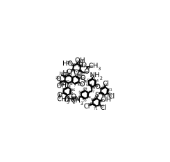 COc1cc([C@@H]2c3cc4c(cc3[C@@H](O[C@@H]3O[C@@H]5CO[C@@H](C)O[C@H]5[C@H](O)[C@H]3O)[C@H]3COC(=O)[C@H]23)OCO4)cc(OC)c1O.Nc1ccc(Cc2ccc(N)cc2)cc1.Oc1c(Cl)cc(Cl)cc1Sc1cc(Cl)cc(Cl)c1O